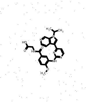 COc1ccc(C(=O)NCC(=O)O)cc1Nc1nccc(-c2cn(C(C)C)c3cnccc23)n1